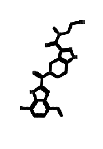 CCc1ccc(F)c2[nH]c(C(=O)N3CCc4[nH]nc(C(=O)N(C)CCO)c4C3)cc12